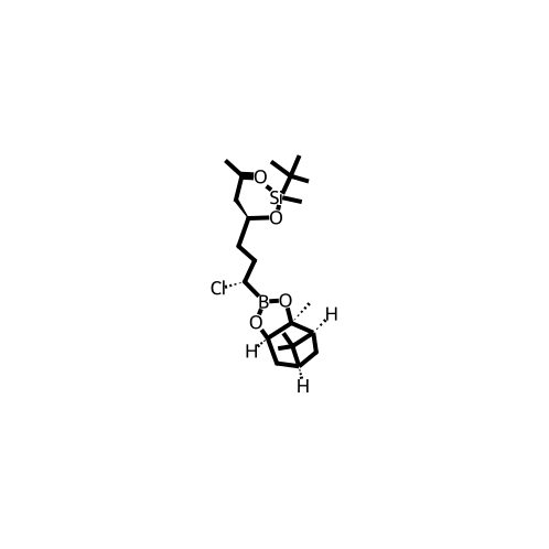 CC(=O)C[C@H](CC[C@@H](Cl)B1O[C@@H]2C[C@@H]3C[C@@H](C3(C)C)[C@]2(C)O1)O[Si](C)(C)C(C)(C)C